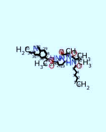 C=CCCCCC(=O)N[C@H](C(=O)N[C@@H](C)C(=O)N1CCC[C@@H](C(=O)O[C@H](C)c2ccc3cnc(C=C)cc3c2)N1)C(C)C